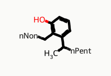 CCCCCCCCCCc1c(O)cccc1C(C)CCCCC